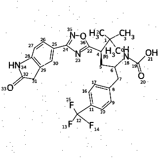 CC(C)(C)[C@@H](CC(Cc1ccc(C(F)(F)F)cc1)NC(=O)O)c1nc(-c2ccc3c(c2)CC(=O)N3)no1